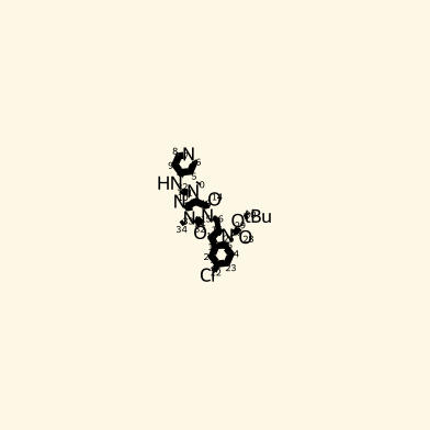 Cn1c(Nc2ccncc2)nc2c1c(=O)n(Cc1cc3cc(Cl)ccc3n1C(=O)OC(C)(C)C)c(=O)n2C